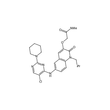 CNC(=O)COc1cc2cc(Nc3nc(N4CCCCC4)ncc3Cl)ccc2n(CC(C)C)c1=O